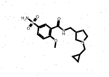 COc1ccc(S(N)(=O)=O)cc1C(=O)NCC1CCN(CC2CC2)C1